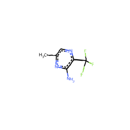 Cc1cnc(C(F)(F)F)c(N)n1